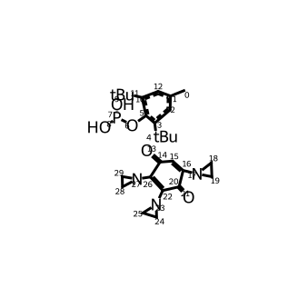 Cc1cc(C(C)(C)C)c(OP(O)O)c(C(C)(C)C)c1.O=C1C=C(N2CC2)C(=O)C(N2CC2)=C1N1CC1